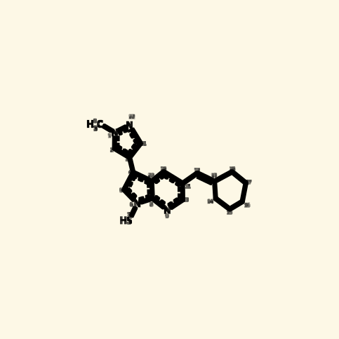 Cn1cc(-c2cn(S)c3ncc(C=C4CCCCC4)cc23)cn1